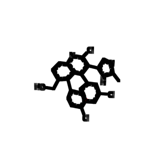 Cc1ncc(-c2c(Cl)nc3ccc(CO)c(-c4ccc(Cl)cc4)c3c2-c2cccc(Cl)c2)[nH]1